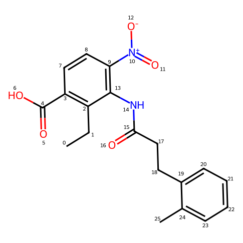 CCc1c(C(=O)O)ccc([N+](=O)[O-])c1NC(=O)CCc1ccccc1C